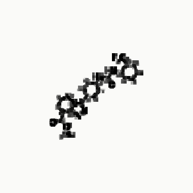 CC(C)(C)OC(=O)c1ccnn2c(-c3ccc(NC(=O)Nc4ccccc4C(F)(F)F)cc3)nnc12